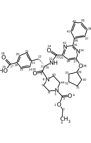 CCOC(=O)N1CCN(C(=O)[C@H](Cc2ccc(C(=O)O)cc2)NC(=O)c2cc(OC3CCCC3)nc(-c3ccccc3)n2)CC1